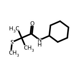 CSC(C)(C)C(=O)NC1CCCCC1